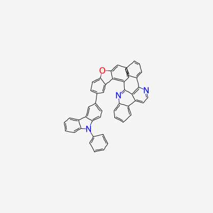 c1ccc(-c2nccc3c2c(-c2cccc4oc5ccc(-c6ccc7c(c6)c6ccccc6n7-c6ccccc6)cc5c24)nc2ccccc23)cc1